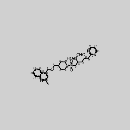 Cc1cc(COCC2CCN(S(=O)(=O)CC(CCCc3ncccn3)N(O)C=O)CC2)c2ccccc2n1